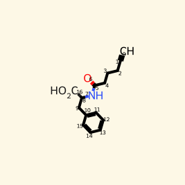 C#CCCCC(=O)NC(Cc1ccccc1)C(=O)O